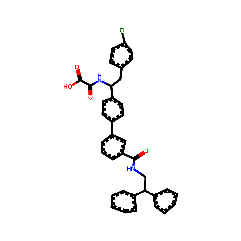 O=C(O)C(=O)NC(Cc1ccc(Cl)cc1)c1ccc(-c2cccc(C(=O)NCC(c3ccccc3)c3ccccc3)c2)cc1